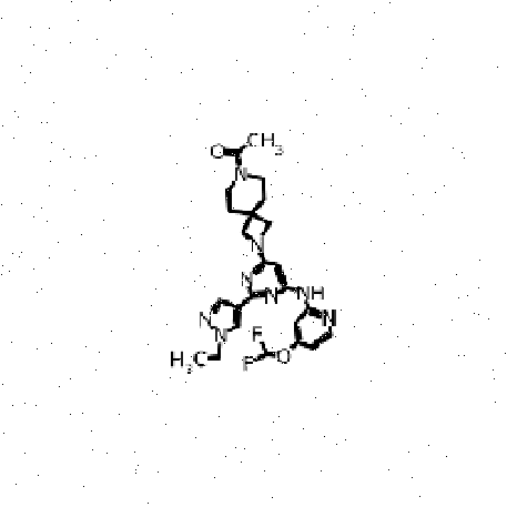 CCn1cc(-c2nc(Nc3cc(OC(F)F)ccn3)cc(N3CC4(CCN(C(C)=O)CC4)C3)n2)cn1